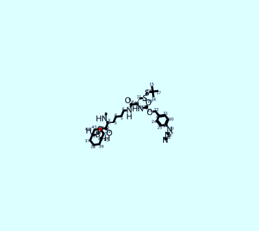 CN[C@@H](CCCCNC(=O)[C@H](CSSC(C)(C)C)NC(=O)OCc1ccc(N=[N+]=[N-])cc1)C(=O)OB1[C@H]2CCC[C@@H]1CCC2